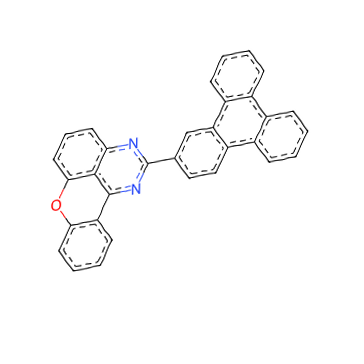 c1ccc2c(c1)Oc1cccc3nc(-c4ccc5c6ccccc6c6ccccc6c5c4)nc-2c13